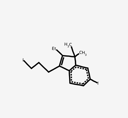 CCC1=C(CCCI)c2ccc(I)cc2C1(C)C